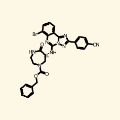 N#Cc1ccc(-c2nc3c4cccc(Br)c4nc(N[C@@H]4CN(C(=O)OCc5ccccc5)CCNC4=O)n3n2)cc1